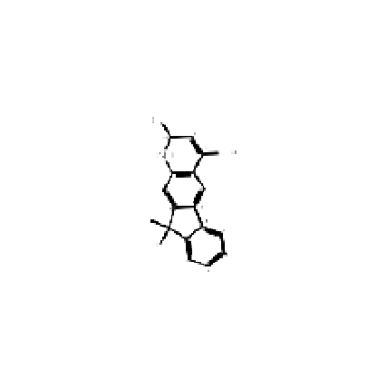 CC1(C)c2ccccc2-c2cc3c(cc21)NC(Cl)C=C3Cl